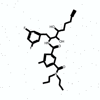 C#CCCCC(O)C(O)C(Cc1cc(F)cc(F)c1)NC(=O)c1cc(C)cc(C(=O)N(CCC)CCC)c1